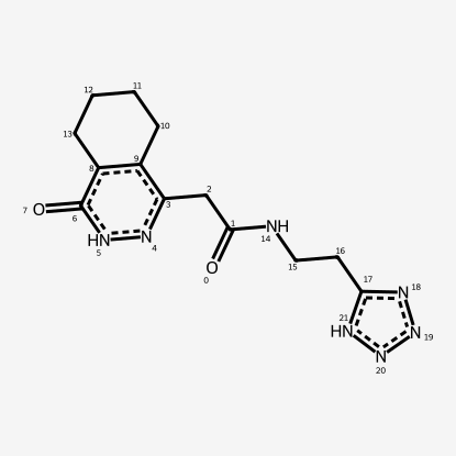 O=C(Cc1n[nH]c(=O)c2c1CCCC2)NCCc1nnn[nH]1